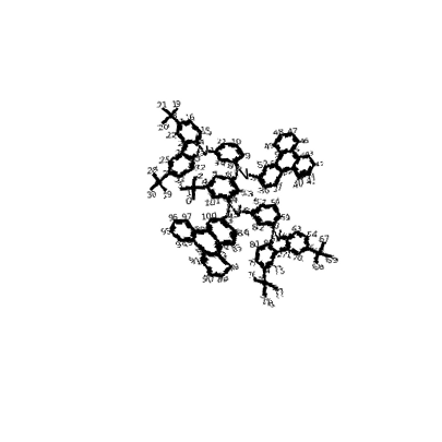 CC(C)(C)c1cc(N(c2cccc(-n3c4ccc(C(C)(C)C)cc4c4cc(C(C)(C)C)ccc43)c2)c2ccc3c4ccccc4c4ccccc4c3c2)cc(N(c2cccc(-n3c4ccc(C(C)(C)C)cc4c4cc(C(C)(C)C)ccc43)c2)c2ccc3c4ccccc4c4ccccc4c3c2)c1